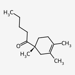 CCCCC(=O)[C@]1(C)CCC(C)=C(C)C1